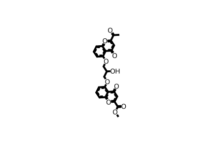 COC(=O)c1cc(=O)c2c(OCC(O)COc3cccc4oc(C(C)=O)cc(=O)c34)cccc2o1